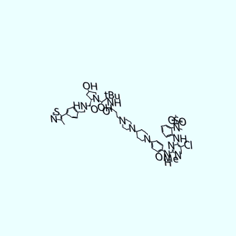 COc1cc(N2CCC(N3CCN(CCC(=O)N[C@H](C(O)N4C[C@H](O)C[C@@H]4C(=O)NCc4ccc(-c5scnc5C)cc4)C(C)(C)C)CC3)CC2)ccc1Nc1ncc(Cl)c(Nc2ccccc2N(C)S(C)(=O)=O)n1